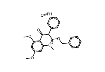 COc1cc(OC)c(C(=O)C(C(=O)OCc2ccccc2)c2ccccc2)c(OC)c1.O=P